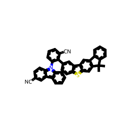 CC1(C)c2ccccc2-c2cc3c(cc21)sc1ccc(-c2c(C#N)cccc2-n2c4ccccc4c4cc(C#N)ccc42)cc13